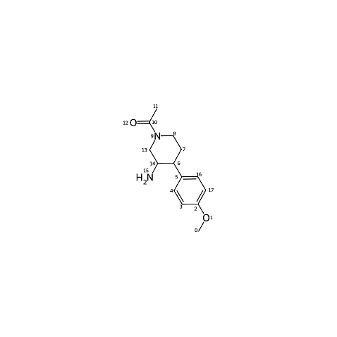 COc1ccc(C2CCN(C(C)=O)CC2N)cc1